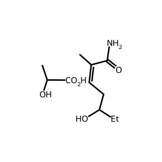 CC(O)C(=O)O.CCC(O)CC=C(C)C(N)=O